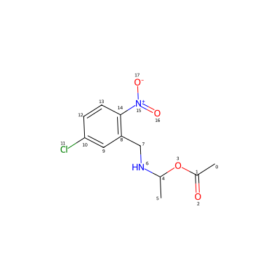 CC(=O)OC(C)NCc1cc(Cl)ccc1[N+](=O)[O-]